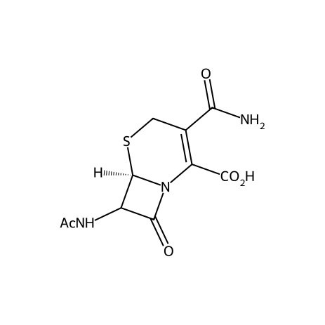 CC(=O)NC1C(=O)N2C(C(=O)O)=C(C(N)=O)CS[C@H]12